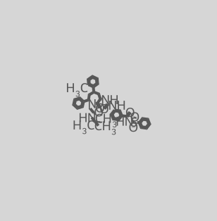 Cc1ccccc1C1CC(NC(=O)Nc2cccc(C(=O)NS(=O)(=O)c3ccccc3)c2)C(=O)N(CC(=O)NC(C)(C)C)C(c2ccccc2)C1